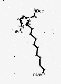 CCCCCCCCCCCCCCCCCCCc1n(CCCCCCCCCCC)cc[n+]1C(C)C